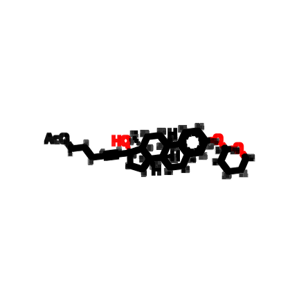 CC(=O)OCCCC#C[C@]1(O)CC[C@H]2[C@@H]3CCc4cc(OC5CCCCO5)ccc4[C@H]3CC[C@@]21C